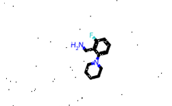 NCc1c(F)cccc1N1CCCCC1